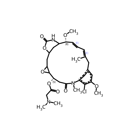 COc1cc2cc(c1Cl)N(C)C(=O)C[C@H](OC(=O)CN(C)C)C1OC1CC1CC(NC(=O)O1)[C@H](OC)/C=C/C=C(\C)C2